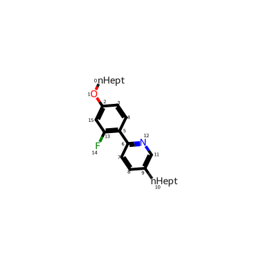 CCCCCCCOc1ccc(-c2ccc(CCCCCCC)cn2)c(F)c1